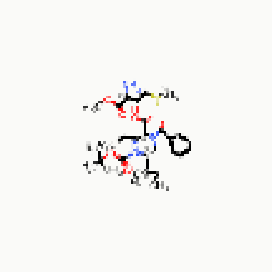 CCC[C@@H](C(=O)O)N(C[C@@H](NC(=O)OC(C)(C)C)[C@@H](C)CC)C(=O)c1ccccc1.COC(=O)[C@@H](N)CCSC